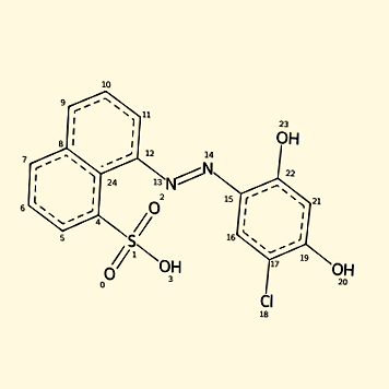 O=S(=O)(O)c1cccc2cccc(/N=N/c3cc(Cl)c(O)cc3O)c12